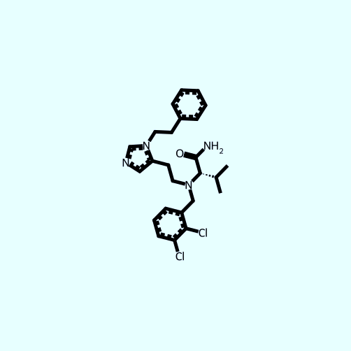 CC(C)[C@@H](C(N)=O)N(CCc1cncn1CCc1ccccc1)Cc1cccc(Cl)c1Cl